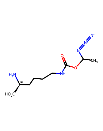 CC(N=[N+]=[N-])OC(=O)NCCCC[C@H](N)C(=O)O